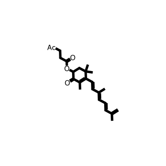 C=C(C)/C=C/C=C(C)/C=C/C1=C(C)C(=O)C(OC(=O)CCC(C)=O)CC1(C)C